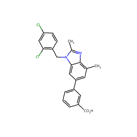 Cc1cc(-c2cccc(C(=O)O)c2)cc2c1nc(C)n2Cc1ccc(Cl)cc1Cl